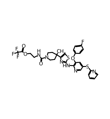 CC1(c2csc(Nc3ncc(Sc4ccccn4)cc3Oc3ccc(F)cc3)n2)CCN(C(=O)NCCOC(=O)C(F)(F)F)CC1